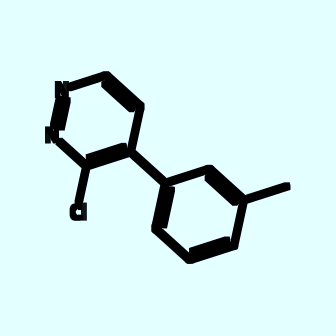 Cc1cccc(-c2ccnnc2Cl)c1